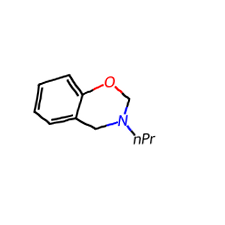 CCCN1COc2ccccc2C1